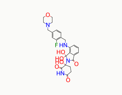 O=C1CCC(O)(N2C(=O)c3cccc(NCc4ccc(CN5CCOCC5)cc4F)c3C2(O)O)C(=O)N1